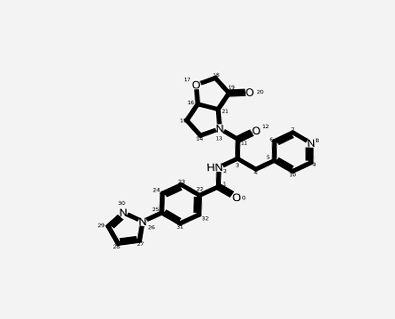 O=C(NC(Cc1ccncc1)C(=O)N1CCC2OCC(=O)C21)c1ccc(-n2cccn2)cc1